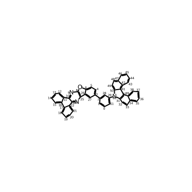 c1cc(-c2ccc3oc4nc5c6ccccc6c6ccccc6c5nc4c3c2)cc(-n2c3ccc4ccccc4c3c3c4ccccc4ccc32)c1